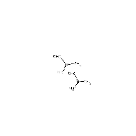 CN(C)C=O.CN(C)C=O